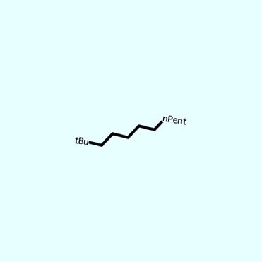 [CH2]CCCCCCCCCC(C)(C)C